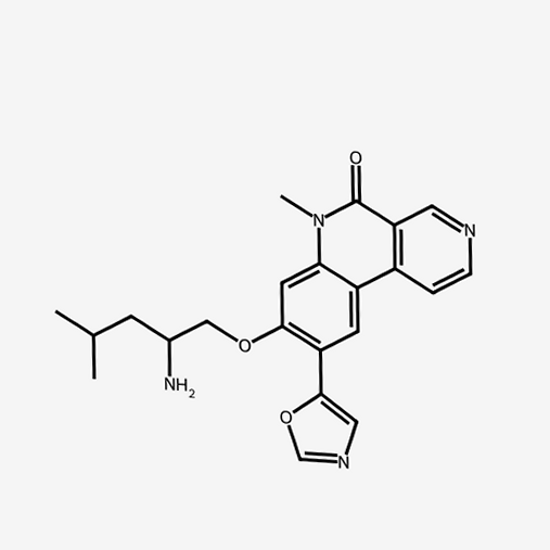 CC(C)CC(N)COc1cc2c(cc1-c1cnco1)c1ccncc1c(=O)n2C